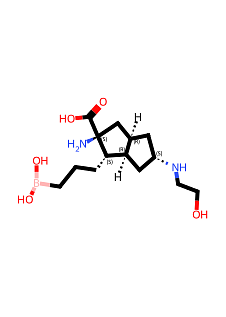 N[C@@]1(C(=O)O)C[C@H]2C[C@H](NCCO)C[C@H]2[C@@H]1CCCB(O)O